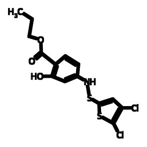 CCCOC(=O)c1ccc(NSc2cc(Cl)c(Cl)s2)cc1O